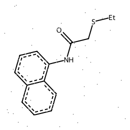 CCSCC(=O)Nc1cccc2ccccc12